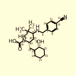 CC(C)(C)C(NCc1ccc(C#N)cc1)[C@H](O)[C@H](CC1CCCCC1)NC(=O)O